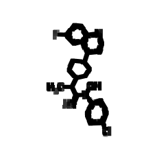 CC(C(=N)N(O)c1ccc(Cl)cc1)C1CCC(c2ccnc3ccc(F)cc23)CC1